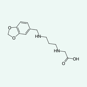 O=C(O)CNCCCNCc1ccc2c(c1)OCO2